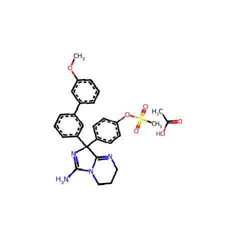 CC(=O)O.COc1cccc(-c2cccc(C3(c4ccc(OS(C)(=O)=O)cc4)N=C(N)N4CCCN=C43)c2)c1